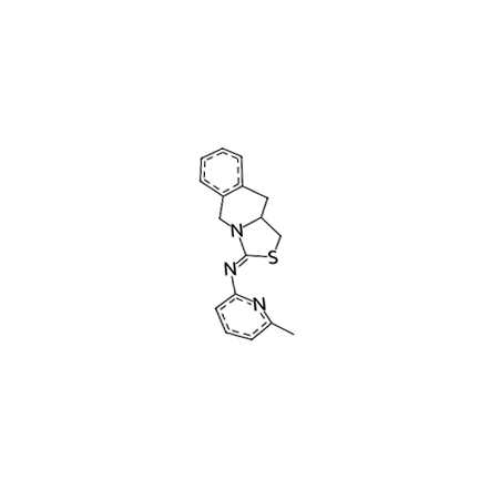 Cc1cccc(N=C2SCC3Cc4ccccc4CN23)n1